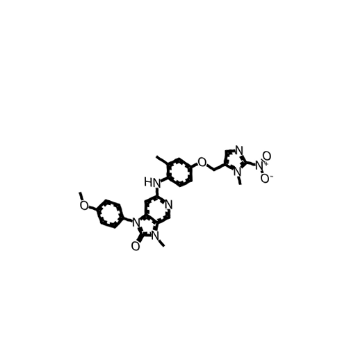 COc1ccc(-n2c(=O)n(C)c3cnc(Nc4ccc(OCc5cnc([N+](=O)[O-])n5C)cc4C)cc32)cc1